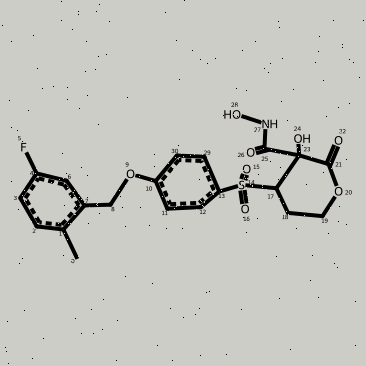 Cc1ccc(F)cc1COc1ccc(S(=O)(=O)C2CCOC(=O)C2(O)C(=O)NO)cc1